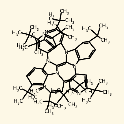 C=N/C(=C\C(=C/C(C)(C)C)N1/C(=C2\N(c3cc(C(C)(C)C)nc(C(C)(C)C)c3)c3ccc(C(C)(C)C)cc3N2c2cc(C(C)(C)C)nc(C(C)(C)C)c2)N(c2cc(C(C)(C)C)nc(C(C)(C)C)c2)c2ccc(C(C)(C)C)cc21)C(C)(C)C